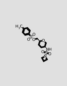 Cc1ccc(S(=O)(=O)OC[C@@H]2CC[C@@H](NS(=O)(=O)N3CCC3)CO2)cc1